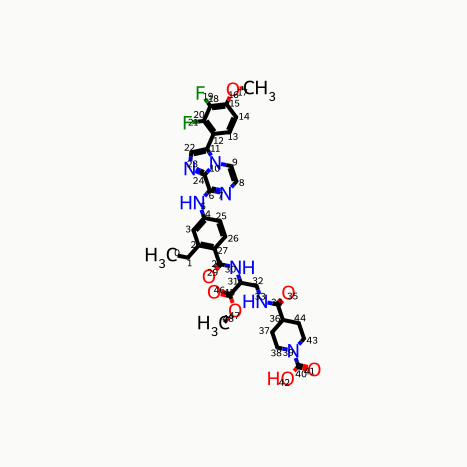 CCc1cc(Nc2nccn3c(-c4ccc(OC)c(F)c4F)cnc23)ccc1C(=O)NC(CNC(=O)C1CCN(C(=O)O)CC1)C(=O)OC